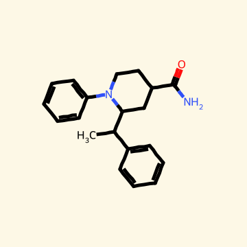 CC(c1ccccc1)C1CC(C(N)=O)CCN1c1ccccc1